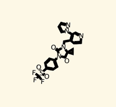 O=C1N(c2ccc(S(=O)(=O)C(F)(F)F)cc2)C(=O)C2(CC2)N1Cc1ccncc1-n1cccn1